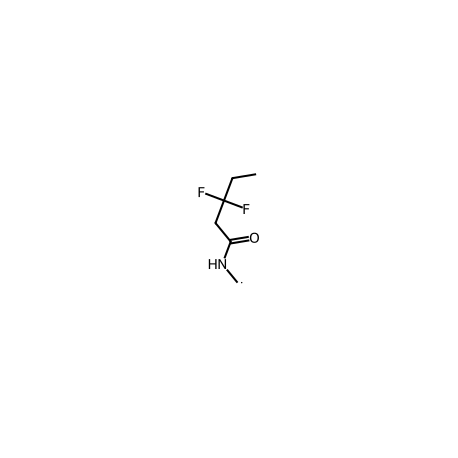 [CH2]NC(=O)CC(F)(F)CC